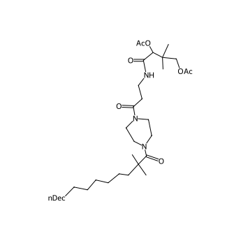 CCCCCCCCCCCCCCCCC(C)(C)C(=O)N1CCN(C(=O)CCNC(=O)C(OC(C)=O)C(C)(C)COC(C)=O)CC1